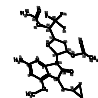 COc1nc(N)nc2c1n(CC1CC1)c(=O)n2C1OC([C@@H](OC(C)=O)C(F)(F)F)CC1OC(C)=O